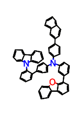 c1cc(-c2cccc3c2oc2ccccc23)cc(N(c2ccc(-c3ccc4ccccc4c3)cc2)c2ccc(-c3ccccc3-n3c4ccccc4c4ccccc43)cc2)c1